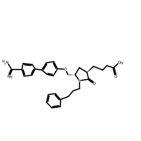 N=C(N)c1ccc(-c2ccc(OC[C@@H]3C[C@@H](CCCC(=O)O)C(=O)N3CCCc3ccccc3)cc2)cc1